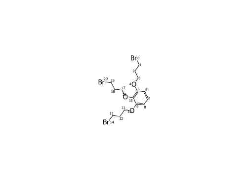 BrCCCOc1cccc(OCCCBr)c1OCCCBr